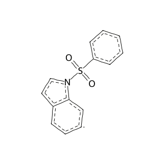 O=S(=O)(c1ccccc1)n1ccc2cc[c]cc21